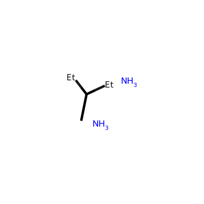 CCC(C)CC.N.N